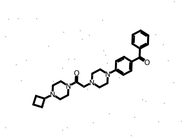 O=C(c1ccccc1)c1ccc(N2CCN(CC(=O)N3CCN(C4CCC4)CC3)CC2)cc1